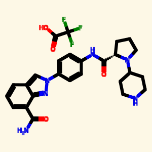 NC(=O)c1cccc2cn(-c3ccc(NC(=O)[C@@H]4CCCN4C4CCNCC4)cc3)nc12.O=C(O)C(F)(F)F